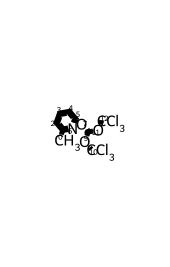 Cc1ccccn1.O=C(OC(Cl)(Cl)Cl)OC(Cl)(Cl)Cl